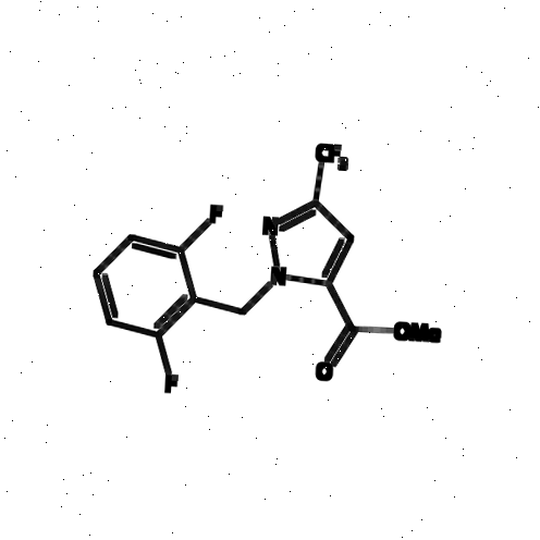 COC(=O)c1cc(C(F)(F)F)nn1Cc1c(F)cccc1F